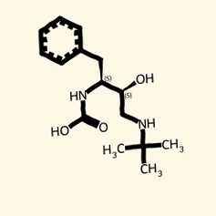 CC(C)(C)NC[C@H](O)[C@H](Cc1ccccc1)NC(=O)O